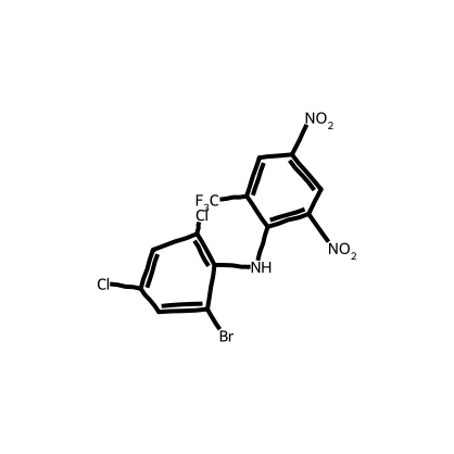 O=[N+]([O-])c1cc([N+](=O)[O-])c(Nc2c(Cl)cc(Cl)cc2Br)c(C(F)(F)F)c1